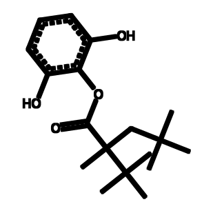 CC(C)(C)CC(C)(C(=O)Oc1c(O)cccc1O)C(C)(C)C